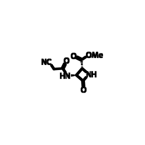 COC(=O)[C@@H]1NC(=O)[C@@H]1NC(=O)CC#N